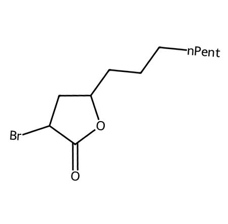 CCCCCCCCC1CC(Br)C(=O)O1